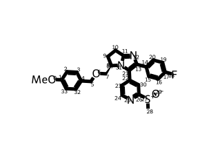 COc1ccc(COC[C@H]2CCc3nc(-c4ccc(F)cc4)c(-c4ccnc([S+](C)[O-])c4)n32)cc1